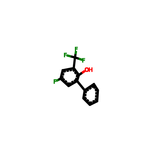 Oc1c(-c2ccccc2)cc(F)cc1C(F)(F)F